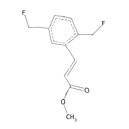 COC(=O)C=Cc1cc(CF)ccc1CF